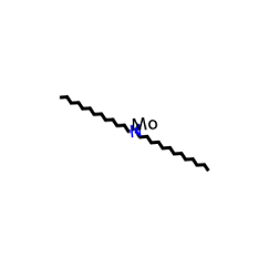 CCCCCCCCCCCCC[N]([Mo])CCCCCCCCCCCCC